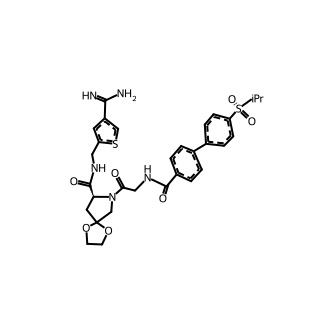 CC(C)S(=O)(=O)c1ccc(-c2ccc(C(=O)NCC(=O)N3CC4(C[C@H]3C(=O)NCc3cc(C(=N)N)cs3)OCCO4)cc2)cc1